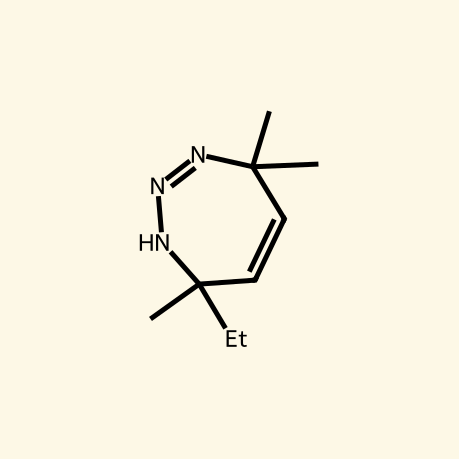 CCC1(C)C=CC(C)(C)N=NN1